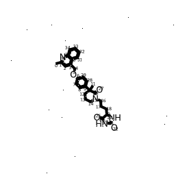 Cc1cc(COc2ccc(C3(C)CCCN(CCCC4NC(=O)NC4=O)C3=O)cc2)c2ccccc2n1